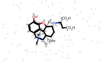 CO[C@@]12CC[C@@H](N[C@@H](CC(=O)O)C(=O)O)[C@@H]3Oc4c(O)ccc5c4[C@@]31CCN(C)[C@@H]2C5